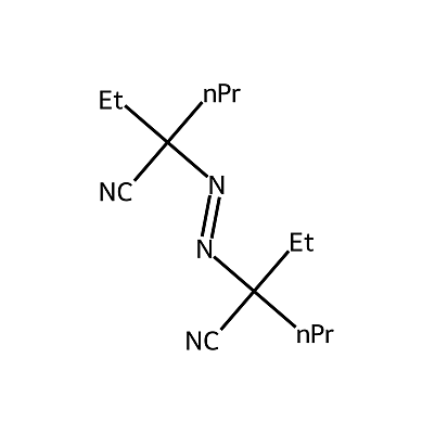 CCCC(C#N)(CC)N=NC(C#N)(CC)CCC